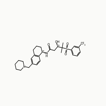 CC(C)([C@H](O)CC(=O)N[C@@H]1CCCc2cc(CN3CCCCC3)ccc21)S(=O)(=O)c1cccc(C(F)(F)F)c1